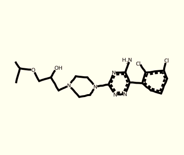 CC(C)OCC(O)CN1CCN(c2nnc(-c3cccc(Cl)c3Cl)c(N)n2)CC1